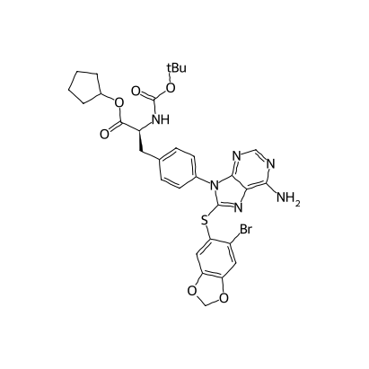 CC(C)(C)OC(=O)N[C@@H](Cc1ccc(-n2c(Sc3cc4c(cc3Br)OCO4)nc3c(N)ncnc32)cc1)C(=O)OC1CCCC1